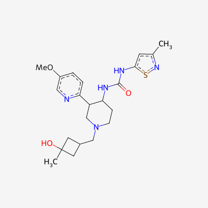 COc1ccc(C2CN(CC3CC(C)(O)C3)CCC2NC(=O)Nc2cc(C)ns2)nc1